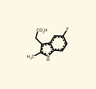 Cc1[nH]c2ccc(F)cc2c1CC(=O)O